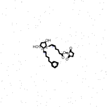 O=C(CCC/C=C\C[C@@H]1[C@@H](/C=C/CCCc2ccccc2)[C@H](O)C[C@@H]1O)ON1C(=O)CCC1=O